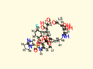 CC[C@H]1OC(=O)[C@H](C)[C@@H](O)[C@H](C)[C@@H](O[C@@H]2O[C@H](C)C[C@H](N(C)S(=O)(=O)c3cnc4n3CCC4)[C@H]2Oc2ccc(F)cc2)[C@](C)(O)C[C@@H](C)CN[C@H](C)[C@@H](O)[C@]1(C)O